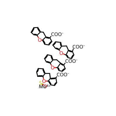 O=C([O-])c1cccc2c1Cc1ccccc1O2.O=C([O-])c1cccc2c1Cc1ccccc1O2.O=C([O-])c1cccc2c1Cc1ccccc1O2.O=C([O-])c1cccc2c1Cc1ccccc1O2.O=S.[Mo+4]